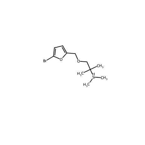 C[SiH](C)C(C)(C)COCc1ccc(Br)o1